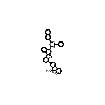 CC1(C)c2ccccc2C2=CC=C(c3cccc4c3oc3cc(-c5nc(-c6ccccc6)nc(-c6ccc7ccccc7c6)n5)c5ccccc5c34)CC21